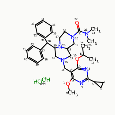 COc1nc(C2CC2)nc(OC(C)C)c1CN1CC2CN(C(=O)N(C)C)CCN2C(C(c2ccccc2)c2ccccc2)C1.Cl.Cl